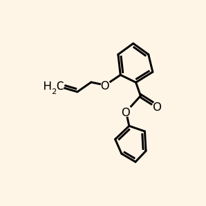 C=CCOc1ccccc1C(=O)Oc1ccccc1